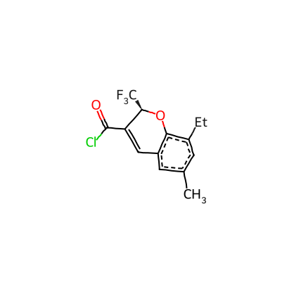 CCc1cc(C)cc2c1O[C@H](C(F)(F)F)C(C(=O)Cl)=C2